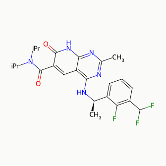 Cc1nc(N[C@H](C)c2cccc(C(F)F)c2F)c2cc(C(=O)N(C(C)C)C(C)C)c(=O)[nH]c2n1